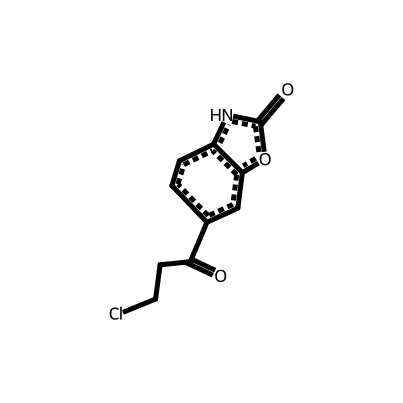 O=C(CCCl)c1ccc2[nH]c(=O)oc2c1